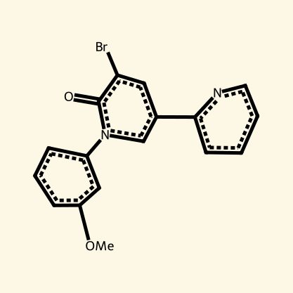 COc1cccc(-n2cc(-c3ccccn3)cc(Br)c2=O)c1